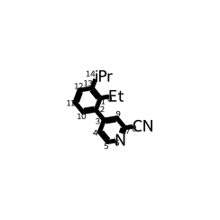 CCc1c(-c2ccnc(C#N)c2)cccc1C(C)C